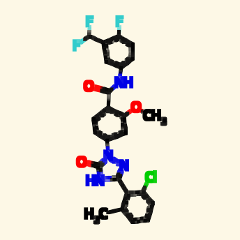 COc1cc(-n2nc(-c3c(C)cccc3Cl)[nH]c2=O)ccc1C(=O)Nc1ccc(F)c(C(F)F)c1